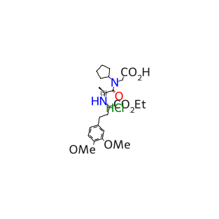 CCOC(=O)C(CCc1ccc(OC)c(OC)c1)N[C@@H](C)C(=O)N(CC(=O)O)C1CCCC1.Cl